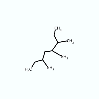 CCC(N)CC(N)C(C)CC